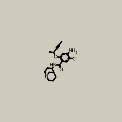 CC#CC(C)Oc1cc(N)c(Cl)cc1C(=O)NC1CCN2CCCC1C2